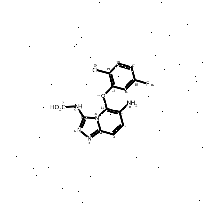 Nc1ccc2nnc(NC(=O)O)n2c1Oc1cc(F)ccc1Cl